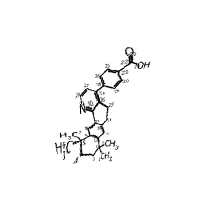 CC1(C)CCC(C)(C)c2cc3c(cc21)CCc1c(-c2ccc(C(=O)O)cc2)ccnc1-3